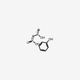 O=[PH](O)O[PH](=O)O.Oc1ccccc1